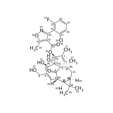 CC1=C[C@]23C(=O)[C@@H](C=C(CO)[C@@H](O)C2(O)[C@H]1OC(=O)c1c(-c2c(F)cccc2Cl)noc1C)[C@H]1[C@@H](C[C@H]3C)C1(C)C